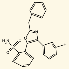 NS(=O)(=O)c1ccccc1-c1oc(Cc2ccccc2)nc1-c1cccc(F)c1